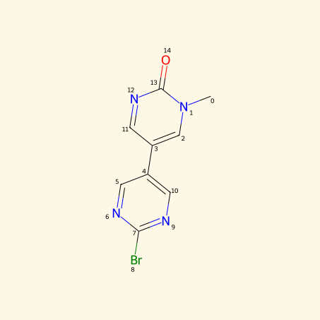 Cn1cc(-c2cnc(Br)nc2)cnc1=O